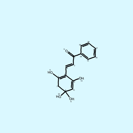 O=C(C=CC1=C(O)CC(O)(O)C=C1O)c1ccccc1